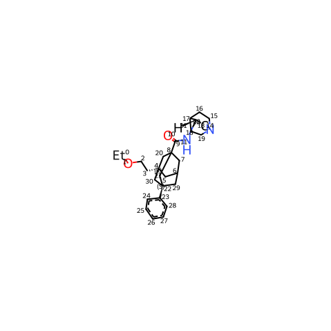 CCOCC[C@@]12CC3CC(C(=O)N[C@H]4CN5CCC4CC5)(C1)C[C@](c1ccccc1)(C3)C2